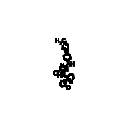 CN1CCN(c2ccc(Nc3ncc(Cl)c(Nc4cccnc4N4CCCC4=O)n3)cc2)CC1